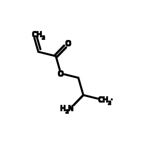 [CH2]C(N)COC(=O)C=C